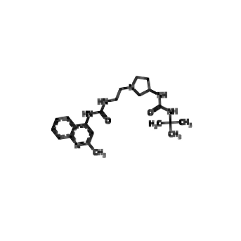 Cc1cc(NC(=O)NCCN2CCC(NC(=O)NC(C)(C)C)C2)c2ccccc2n1